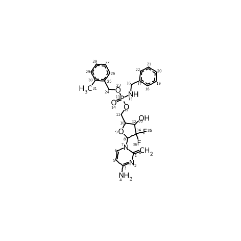 C=C1N=C(N)C=CN1C1OC(COP(=O)(NCc2ccccc2)OCc2ccccc2C)C(O)C1(F)F